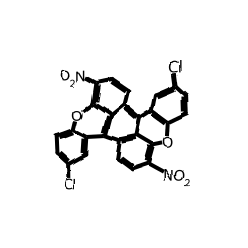 O=[N+]([O-])c1ccc2c3c1oc1ccc(Cl)cc1c3c1ccc([N+](=O)[O-])c3oc4ccc(Cl)cc4c2c31